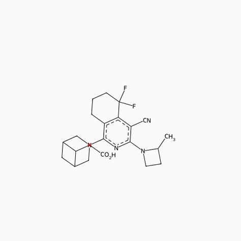 CC1CCN1c1nc(N2CC3CC(C2)C3CC(=O)O)c2c(c1C#N)C(F)(F)CCC2